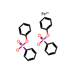 O=P([O-])(Oc1ccccc1)c1ccccc1.O=P([O-])(Oc1ccccc1)c1ccccc1.[Fe+2]